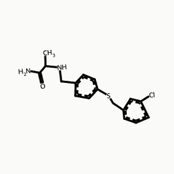 CC(NCc1ccc(SCc2cccc(Cl)c2)cc1)C(N)=O